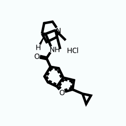 CC1(C)[C@H](NC(=O)c2ccc3oc(C4CC4)cc3c2)C2CCN1CC2.Cl